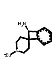 CC(C)(C)N1CCC2(CC1)c1ccccc1[C@@H]2N